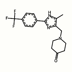 Cc1[nH]c(-c2ccc(C(F)(F)F)cc2)nc1CN1CCC(=O)CC1